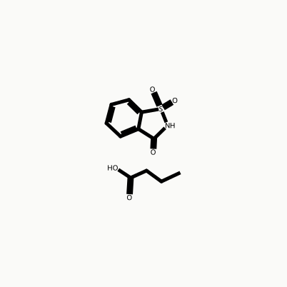 CCCC(=O)O.O=C1NS(=O)(=O)c2ccccc21